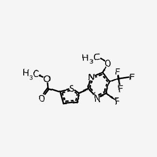 COC(=O)c1ccc(-c2nc(F)c(C(F)(F)F)c(OC)n2)s1